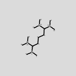 CN(C)C(CCCC(N(C)C)N(C)C)N(C)C